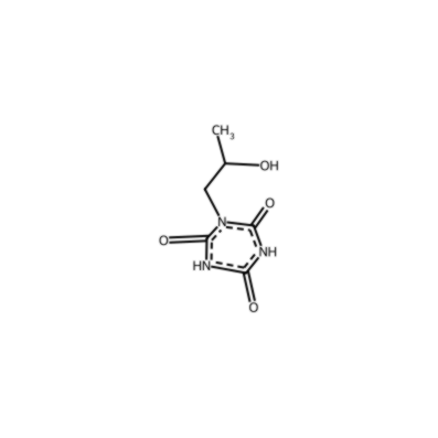 CC(O)Cn1c(=O)[nH]c(=O)[nH]c1=O